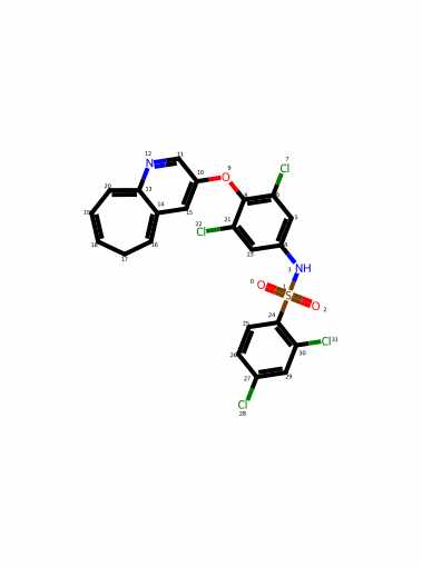 O=S(=O)(Nc1cc(Cl)c(Oc2cnc3c(c2)=CCC=CC=3)c(Cl)c1)c1ccc(Cl)cc1Cl